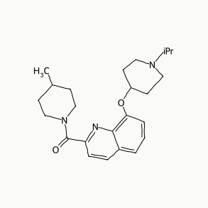 CC1CCN(C(=O)c2ccc3cccc(OC4CCN(C(C)C)CC4)c3n2)CC1